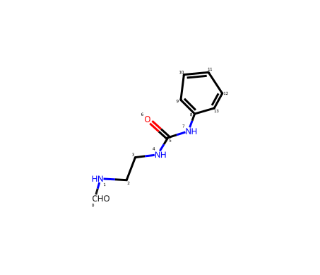 O=CNCCNC(=O)Nc1ccccc1